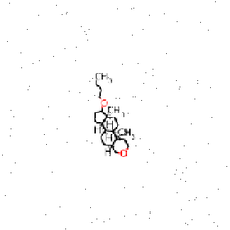 CCCCOC1CC[C@H]2[C@@H]3CC[C@H]4COCC[C@]4(C)[C@H]3CC[C@]12C